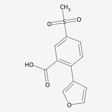 CS(=O)(=O)c1ccc(-c2ccoc2)c(C(=O)O)c1